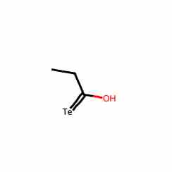 CCC(O)=[Te]